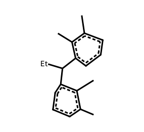 CCC(c1cccc(C)c1C)c1cccc(C)c1C